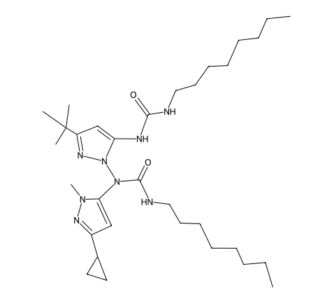 CCCCCCCCNC(=O)Nc1cc(C(C)(C)C)nn1N(C(=O)NCCCCCCCC)c1cc(C2CC2)nn1C